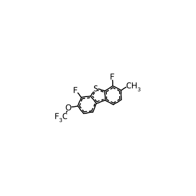 Cc1ccc2c(sc3c(F)c(OC(F)(F)F)ccc32)c1F